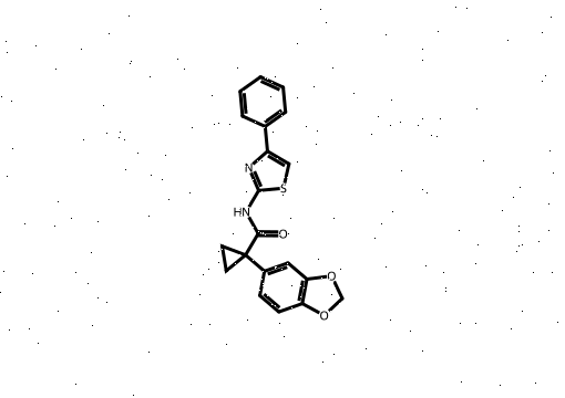 O=C(Nc1nc(-c2ccccc2)cs1)C1(c2ccc3c(c2)OCO3)CC1